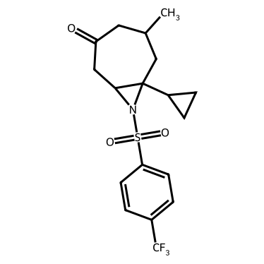 CC1CC(=O)CC2N(S(=O)(=O)c3ccc(C(F)(F)F)cc3)C2(C2CC2)C1